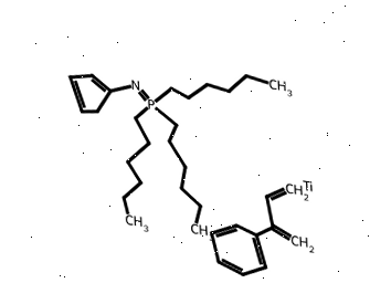 C=CC(=C)c1ccccc1.CCCCCCP(CCCCCC)(CCCCCC)=NC1=CC=CC1.[Ti]